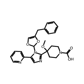 COC1(c2ncc(-c3ccccn3)n2C2OC=C(Cc3ccccc3)O2)CCN(C(=O)O)CC1